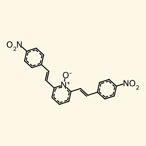 O=[N+]([O-])c1ccc(C=Cc2cccc(C=Cc3ccc([N+](=O)[O-])cc3)[n+]2[O-])cc1